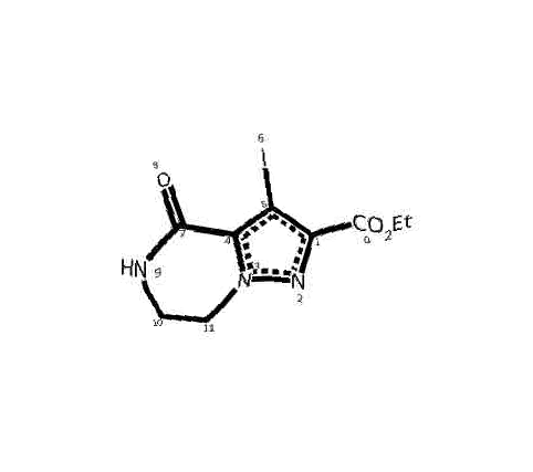 CCOC(=O)c1nn2c(c1I)C(=O)NCC2